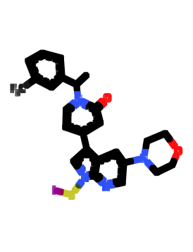 CC(c1cccc(C(F)(F)F)c1)n1ccc(-c2cn(SI)c3ncc(N4CCOCC4)cc23)cc1=O